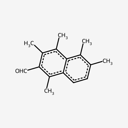 Cc1ccc2c(C)c(C=O)c(C)c(C)c2c1C